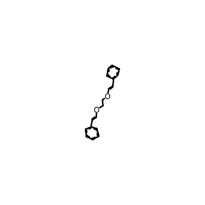 C(=C\c1ccccc1)/OCCO/C=C/c1ccccc1